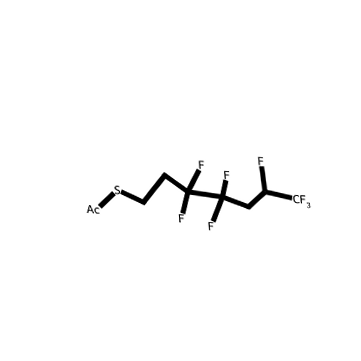 CC(=O)SCCC(F)(F)C(F)(F)CC(F)C(F)(F)F